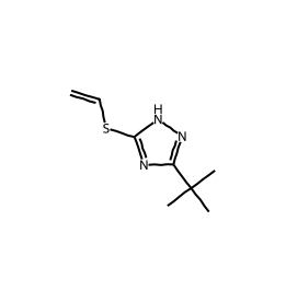 C=CSc1nc(C(C)(C)C)n[nH]1